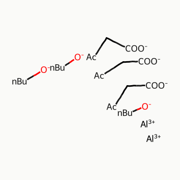 CC(=O)CC(=O)[O-].CC(=O)CC(=O)[O-].CC(=O)CC(=O)[O-].CCCC[O-].CCCC[O-].CCCC[O-].[Al+3].[Al+3]